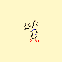 O=c1cc2n(cc1O)CCN(C(c1ccccc1)C1CCCC1)C2